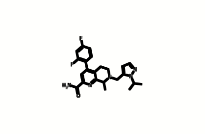 CC1c2nc(C(N)=O)cc(-c3ccc(F)cc3F)c2CCN1Cc1ccnn1C(C)C